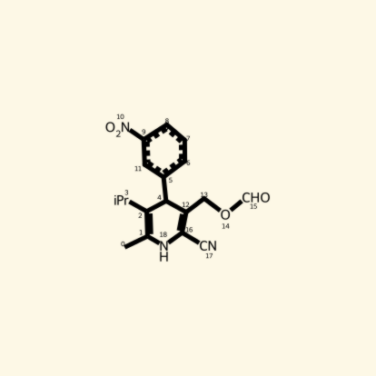 CC1=C(C(C)C)C(c2cccc([N+](=O)[O-])c2)C(COC=O)=C(C#N)N1